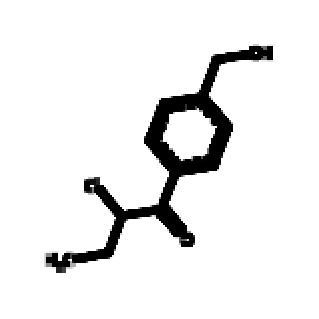 CCC(Cl)C(=O)c1ccc(CO)cc1